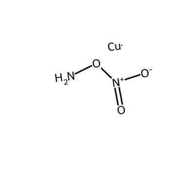 NO[N+](=O)[O-].[Cu]